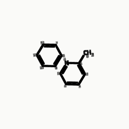 Cc1ccccn1.c1ccccc1